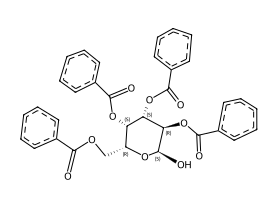 O=C(OC[C@H]1O[C@H](O)[C@H](OC(=O)c2ccccc2)[C@@H](OC(=O)c2ccccc2)[C@H]1OC(=O)c1ccccc1)c1ccccc1